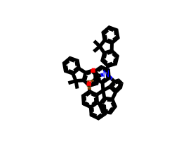 CC1(C)c2ccccc2-c2cc(N(c3ccc4c(c3)C(C)(C)c3ccccc3-4)c3cccc4c3C3(c5ccccc5Sc5ccc6ccccc6c53)c3ccccc3-4)ccc21